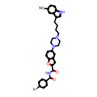 N#Cc1ccc2[nH]cc(CCCCN3CCN(c4ccc5oc(C(=O)NC(=O)c6ccc(Br)cc6)cc5c4)CC3)c2c1